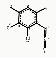 Cc1cc(C)c(N=C=O)c(Cl)c1Cl